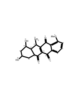 COc1cccc2c1C(=O)C1=C(C2=O)C(=O)C2CC(O)CC(O)C2C1[N+](=O)[O-]